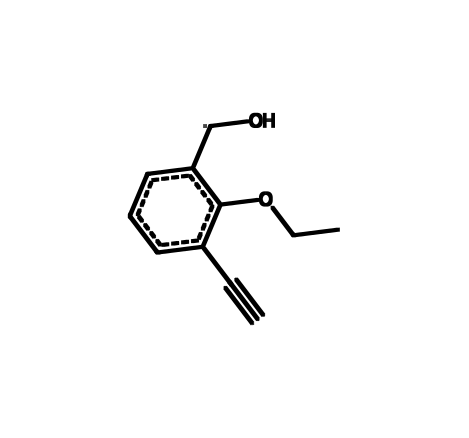 C#Cc1cccc([CH]O)c1OCC